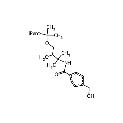 CCCC(C)C(C)(C)OCC(C)C(C)(C)NC(=O)c1ccc(CO)cc1